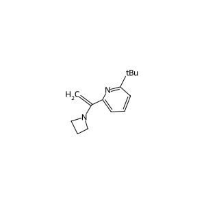 C=C(c1cccc(C(C)(C)C)n1)N1CCC1